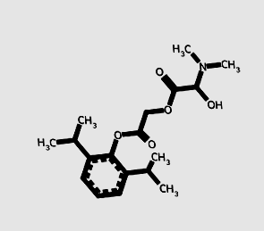 CC(C)c1cccc(C(C)C)c1OC(=O)COC(=O)C(O)N(C)C